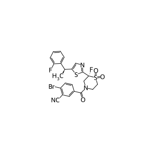 C[C@H](c1cnc([C@]2(F)CN(C(=O)c3ccc(Br)c(C#N)c3)CCS2(=O)=O)s1)c1ccccc1F